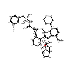 COc1ccc(C2CCCCC2)c2c1cc1n2CC2=C(C(=O)NS(=O)(=O)Cc3cccc(Cl)c3)C2=C2C=CC[C@@H](C(=O)N3C4CCC3CN(C)C4)C21